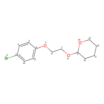 Brc1ccc(OCCOC2CCCCO2)cc1